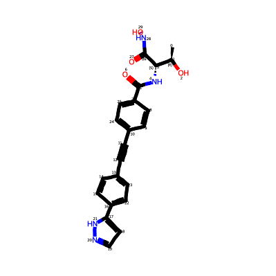 C[C@@H](O)[C@H](NC(=O)c1ccc(C#Cc2ccc(-c3ccn[nH]3)cc2)cc1)C(=O)NO